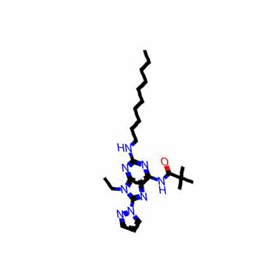 CCCCCCCCCCNc1nc(NC(=O)C(C)(C)C)c2nc(-n3cccn3)n(CC)c2n1